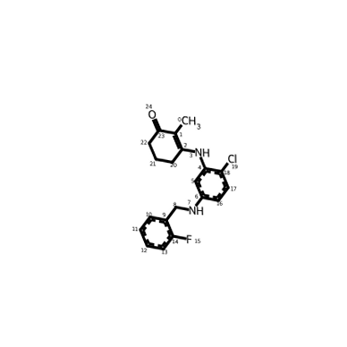 CC1=C(Nc2cc(NCc3ccccc3F)ccc2Cl)CCCC1=O